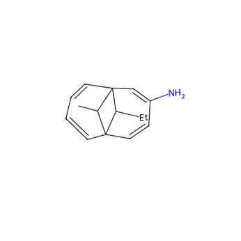 CCC1C23C=CC=CC1(C=C(N)C=C2)C3C